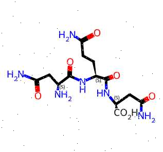 NC(=O)CC[C@H](NC(=O)[C@@H](N)CC(N)=O)C(=O)N[C@@H](CC(N)=O)C(=O)O